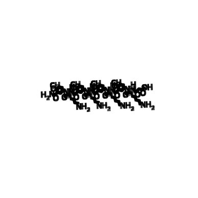 COc1ccc(NC(=O)[C@H](CCCCN)NC(=O)c2cc(NC(=O)[C@H](CCCCN)NC(=O)c3cc(NC(=O)[C@H](CCCCCN)NC(=O)c4cc(NC(=O)[C@H](CCCCCN)NC(=O)CC(=O)O)ccc4OC)ccc3OC)ccc2OC)cc1C(N)=O